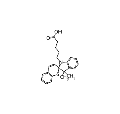 CC1(C)c2ccccc2N(CCCCC(=O)O)C12C=Cc1ccccc1S2